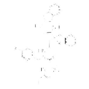 COC(=O)N[C@H](C(=O)N(Cc1ccc(Br)cc1)NCC[C@](O)(Cc1ccccc1)C(=O)N[C@H]1c2ccccc2C[C@H]1O)C(C)(C)C